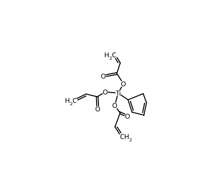 C=CC(=O)[O][Ti]([O]C(=O)C=C)([O]C(=O)C=C)[C]1=CC=CC1